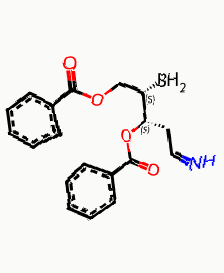 B[C@@H](COC(=O)c1ccccc1)[C@H](CC=N)OC(=O)c1ccccc1